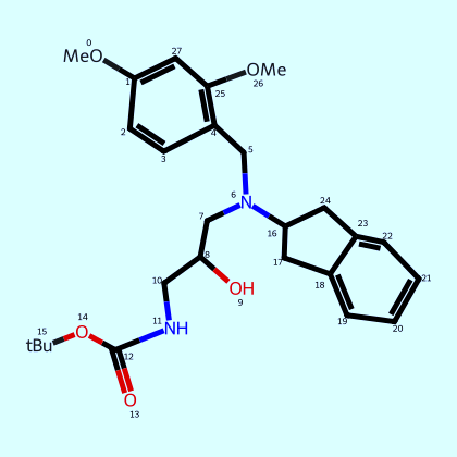 COc1ccc(CN(CC(O)CNC(=O)OC(C)(C)C)C2Cc3ccccc3C2)c(OC)c1